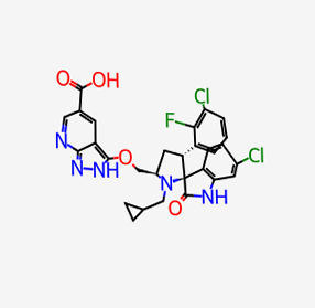 O=C(O)c1cnc2n[nH]c(OC[C@H]3C[C@H](c4cccc(Cl)c4F)[C@]4(C(=O)Nc5cc(Cl)ccc54)N3CC3CC3)c2c1